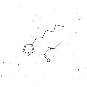 CCCCCCc1ccsc1.CCOC(C)=O